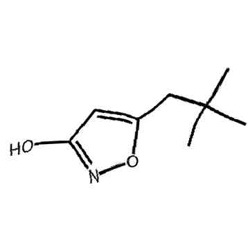 CC(C)(C)Cc1cc(O)no1